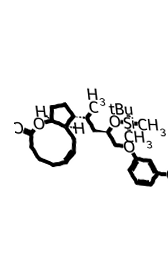 CC(C[C@H](COc1cccc(C(F)(F)F)c1)O[Si](C)(C)C(C)(C)C)[C@H]1CC[C@@H]2OC(=O)CCC/C=C\C[C@@H]21